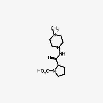 CN1CCN(NC(=O)C2CCCN2C(=O)O)CC1